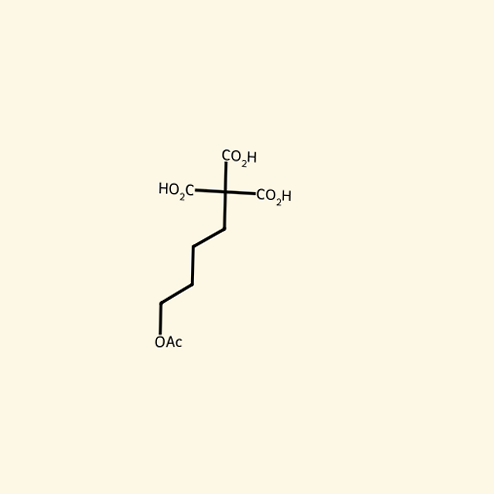 CC(=O)OCCCCC(C(=O)O)(C(=O)O)C(=O)O